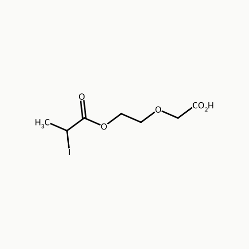 CC(I)C(=O)OCCOCC(=O)O